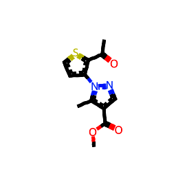 COC(=O)c1cnn(-c2ccsc2C(C)=O)c1C